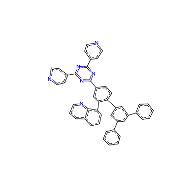 c1ccc(-c2cc(-c3ccccc3)cc(-c3ccc(-c4nc(-c5ccncc5)nc(-c5ccncc5)n4)cc3-c3cccc4cccnc34)c2)cc1